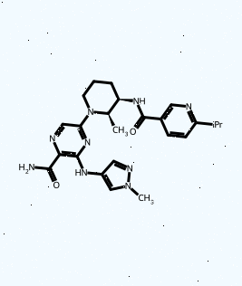 CC(C)c1ccc(C(=O)N[C@@H]2CCCN(c3cnc(C(N)=O)c(Nc4cnn(C)c4)n3)[C@@H]2C)cn1